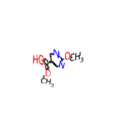 CCOB(O)c1cnc(OC)nc1